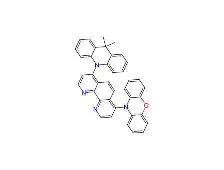 CC1(C)c2ccccc2N(c2ccnc3c2ccc2c(N4c5ccccc5Oc5ccccc54)ccnc23)c2ccccc21